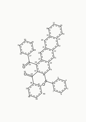 O=C(c1ccccc1)c1cc2cc3cc4ccccc4cc3cc2c(C(=O)c2ccccc2)c1C(=O)c1ccccc1